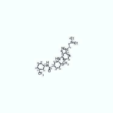 CCN(CC)CCn1ncc2c(Nc3cc(C(=O)Nc4cccc(C(F)(F)F)c4)ccc3C)ncnc21